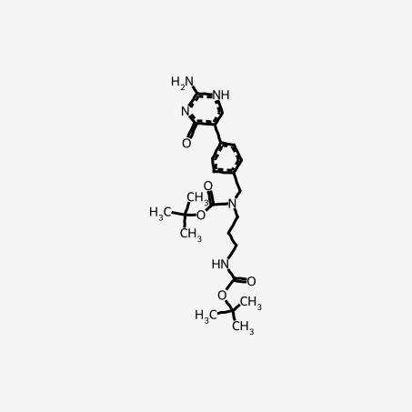 CC(C)(C)OC(=O)NCCCN(Cc1ccc(-c2c[nH]c(N)nc2=O)cc1)C(=O)OC(C)(C)C